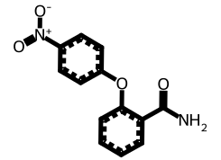 NC(=O)c1ccccc1Oc1ccc([N+](=O)[O-])cc1